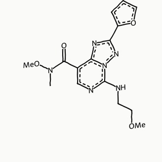 COCCNc1ncc(C(=O)N(C)OC)c2nc(-c3ccco3)nn12